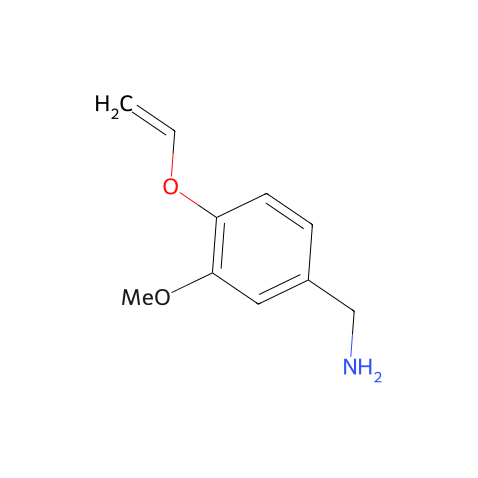 C=COc1ccc(CN)cc1OC